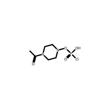 CC(=O)N1CCN(OP(=O)(O)Cl)CC1